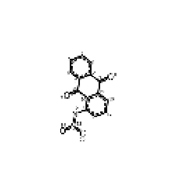 O=C1c2ccccc2C(=O)c2c(N=S(=O)=O)cccc21